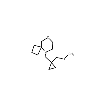 COCC1(CN2CCOCC23CCC3)CC1